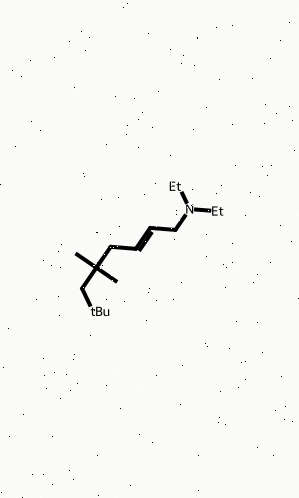 CCN(CC)CC=CCC(C)(C)CC(C)(C)C